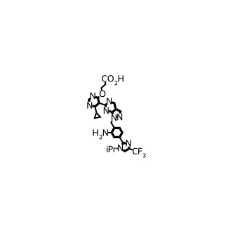 CC(C)n1cc(C(F)(F)F)nc1-c1ccc(Cn2ncc3cnc(-c4c(OCCC(=O)O)ncnc4C4CC4)nc32)c(N)c1